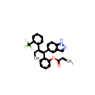 C=CC(=O)Oc1ccccc1/C(=C(\CC)c1ccccc1C(F)(F)F)c1ccc2[nH]ncc2c1